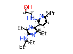 CCc1nc(-c2ccc(C(C)C)nc2NCCO)c(CC)nc1NC(CC)CC